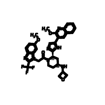 COc1ccc2nc(C(F)(F)F)n(CC(=O)N3CC[C@H](NC4COC4)C[C@H]3c3ncc(-c4cc5ccccc5nc4OC)[nH]3)c2c1